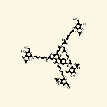 COC1CCC(C(=O)NC(CCC(=O)N(CC(=O)NCCOCCOC2OC(CO)C(O)C(O)C2NC(C)=O)CC(=O)NCCOCCOC2OC(CO)C(O)C(O)C2NC(C)=O)C(=O)N(CC(=O)NCCOCCOC2OC(CO)C(O)C(O)C2NC(C)=O)CC(=O)NCCOCCOC2OC(CO)C(O)C(O)C2NC(C)=O)CC1